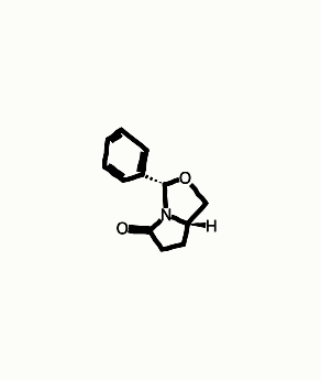 O=C1CC[C@H]2CO[C@@H](c3ccccc3)N12